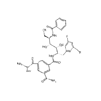 CCCN(CCC)C(=O)c1cc(C(N)=O)cc(C(=O)N[C@@H](Cc2cc(F)cc(F)c2)[C@@H](O)[C@H](O)[C@@H](CC#N)NC(=O)c2ccccc2)c1